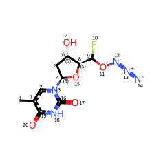 Cc1cn([C@H]2C[C@H](O)[C@@H](C(F)ON=[N+]=[N-])O2)c(=O)[nH]c1=O